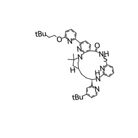 CC(C)(C)CCOc1cccc(-c2ccc3c(n2)N2C[C@@H](CC[C@H](c4cc(C(C)(C)C)ccn4)Nc4cccc(n4)SNC3=O)CC2(C)C)n1